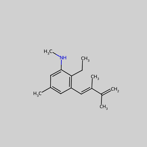 C=C(C)/C(C)=C/c1cc(C)cc(NC)c1CC